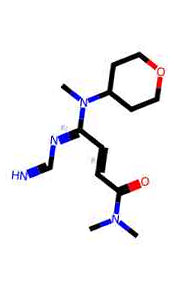 CN(C)C(=O)/C=C/C(=N\C=N)N(C)C1CCOCC1